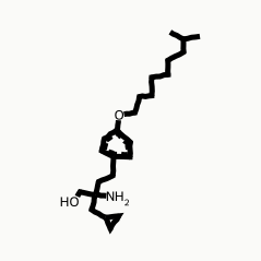 CC(C)CCCCCCCOc1ccc(CCC(N)(CO)CC2CC2)cc1